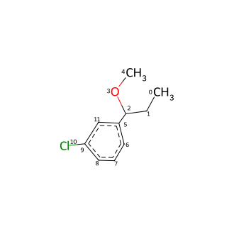 CCC(OC)c1cccc(Cl)c1